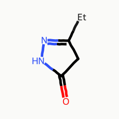 CCC1=NNC(=O)C1